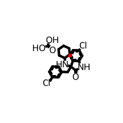 O=C(O)O.O=C1Nc2cc(Cl)ccc2C1(Cc1cccc(Cl)c1)NC1CCCCC1